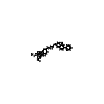 CCN(CCCNCC1CCC(NS(=O)(=O)C(C)(C)C)CC1)Cc1ccc(-c2ncccn2)cc1